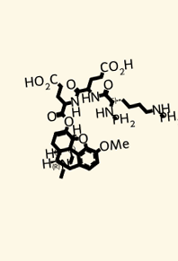 COc1ccc2c3c1O[C@H]1C(OC(=O)C(CCC(=O)O)NC(=O)C(CCC(=O)O)NC(=O)[C@H](CCCCNP)NP)=CC[C@H]4[C@@H](C2)N(C)CC[C@]314